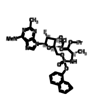 CNc1nc(C)nc2c1ncn2[C@@H]1O[C@](CCl)(COP(=O)(N[C@@H](C)C(=O)OC(C)C)Oc2cccc3ccccc23)[C@@H](O)[C@H]1F